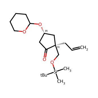 C=CC[C@@]1(CO[Si](C)(C)C(C)(C)C)C[C@@H](OC2CCCCO2)CC1=O